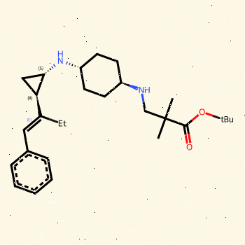 CC/C(=C\c1ccccc1)[C@H]1C[C@@H]1N[C@H]1CC[C@H](NCC(C)(C)C(=O)OC(C)(C)C)CC1